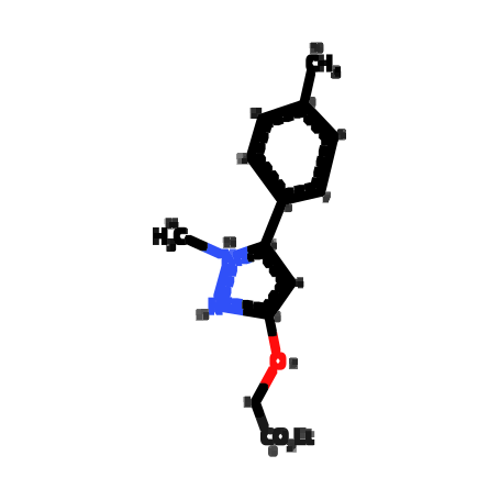 CCOC(=O)COc1cc(-c2ccc(C)cc2)n(C)n1